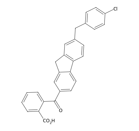 O=C(O)c1ccccc1C(=O)c1ccc2c(c1)Cc1cc(Cc3ccc(Cl)cc3)ccc1-2